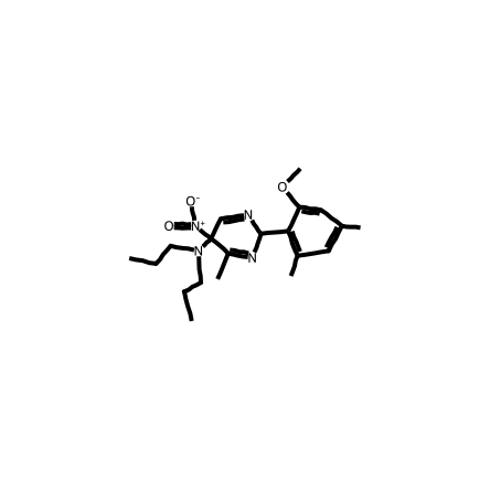 CCCN(CCC)C1([N+](=O)[O-])C=NC(c2c(C)cc(C)cc2OC)N=C1C